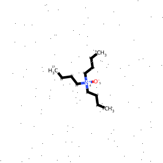 CCCC[N+]([O-])(CCCC)CCCC